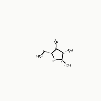 OC[C@H]1O[C@H](O)[C@@H](O)[C@H]1O